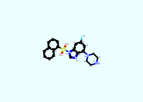 O=S(=O)(c1cccc2ccccc12)n1cnc2c(N3CCNCC3)cc(F)cc21